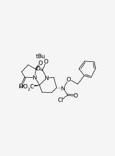 CC(C)(C)OC(=O)N1C[C@H](N(OCc2ccccc2)C(=O)Cl)CC[C@]1(C(=O)O)N1C(=O)CCC1=O